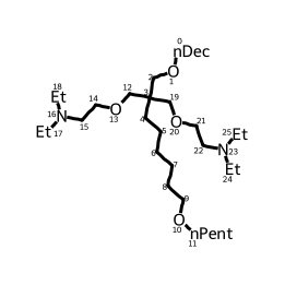 CCCCCCCCCCOCC(CCCCCCOCCCCC)(COCCN(CC)CC)COCCN(CC)CC